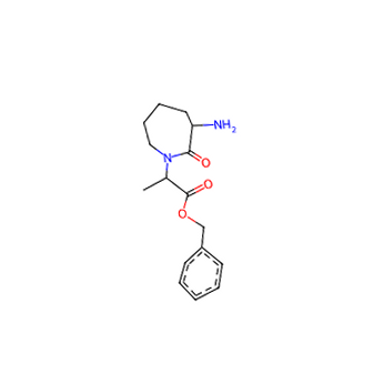 CC(C(=O)OCc1ccccc1)N1CCCCC(N)C1=O